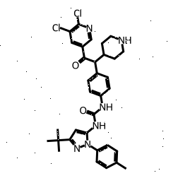 Cc1ccc(-n2nc(C(C)(C)C)cc2NC(=O)Nc2ccc(C(C(=O)c3cnc(Cl)c(Cl)c3)C3CCNCC3)cc2)cc1